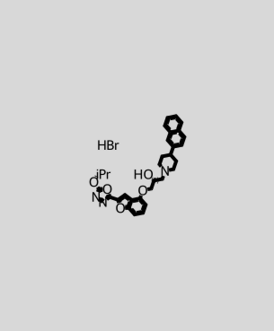 Br.CC(C)Oc1nnc(-c2cc3c(OC[C@@H](O)CN4CCC(c5ccc6ccccc6c5)CC4)cccc3o2)o1